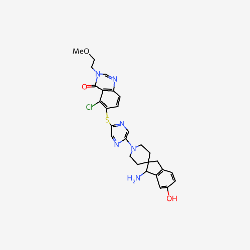 COCCn1cnc2ccc(Sc3cnc(N4CCC5(CC4)Cc4ccc(O)cc4C5N)cn3)c(Cl)c2c1=O